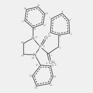 C=C(Cc1ccccc1)P1(=O)N(c2ccccc2)CCN1c1ccccc1